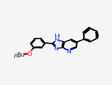 CCCCOc1cccc(-c2nc3ncc(-c4ccccc4)cc3[nH]2)c1